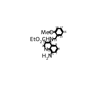 CCOC(=O)c1cnc2c(N)cccc2c1NCc1ccccc1OC